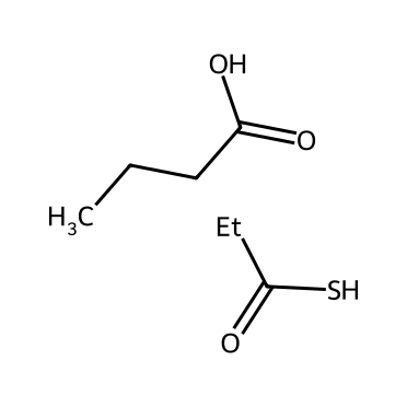 CCC(=O)S.CCCC(=O)O